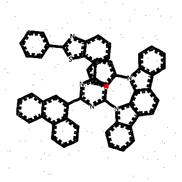 c1ccc(-c2nc3cccc(-c4nc(-c5cc6ccccc6c6ccccc56)nc(-n5c6ccccc6c6ccc7c8ccccc8n(-c8ccccc8)c7c65)n4)c3s2)cc1